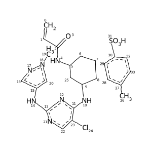 C=CC(=O)NC1CCCC(Nc2nc(Nc3cnn(C)c3)ncc2Cl)C1.Cc1ccc(S(=O)(=O)O)cc1